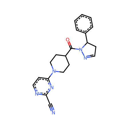 N#Cc1nccc(N2CCC(C(=O)N3N=CCC3c3ccccc3)CC2)n1